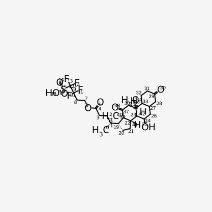 C[C@H](CCC(=O)OCCC(F)(F)C(F)(F)S(=O)(=O)O)[C@H]1CC[C@H]2[C@@H]3C(O)CC4CC(=O)CC[C@]4(C)[C@H]3CC(=O)[C@]12C